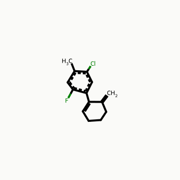 C=C1CCCC=C1c1cc(Cl)c(C)cc1F